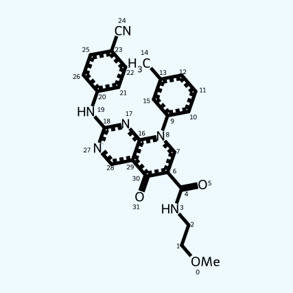 COCCNC(=O)c1cn(-c2cccc(C)c2)c2nc(Nc3ccc(C#N)cc3)ncc2c1=O